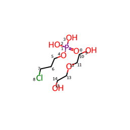 O=P(O)(O)OCCCCl.OCCOCCO